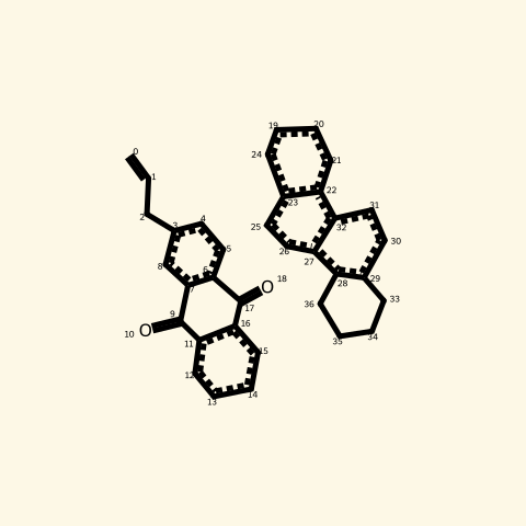 C=CCc1ccc2c(c1)C(=O)c1ccccc1C2=O.c1ccc2c(c1)ccc1c3c(ccc12)CCCC3